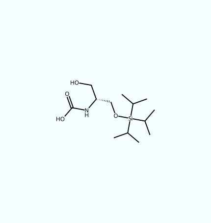 CC(C)[Si](OC[C@@H](CO)NC(=O)O)(C(C)C)C(C)C